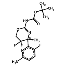 CC(C)(C)OC(=O)NC1=N[C@](C)(c2nc(N)ccc2F)C(F)(F)CO1